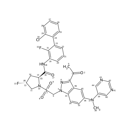 CC(=O)c1nn(CS(=O)(=O)N2C[C@H](F)C[C@H]2C(=O)Nc2cccc(-c3ccccc3Cl)c2F)c2ccc(N(C)c3cncnc3)cc12